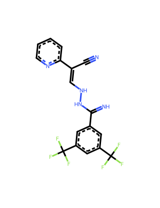 N#CC(=CNNC(=N)c1cc(C(F)(F)F)cc(C(F)(F)F)c1)c1ccccn1